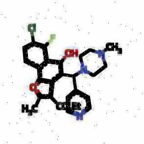 CCOC(=O)c1c(C)oc2c1c(C(c1ccncc1)N1CCN(C)CC1)c(O)c1c(F)c(Cl)ccc12